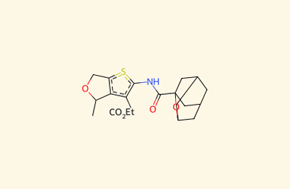 CCOC(=O)c1c(NC(=O)C23CC4CC(CC(C4)O2)C3)sc2c1C(C)OC2